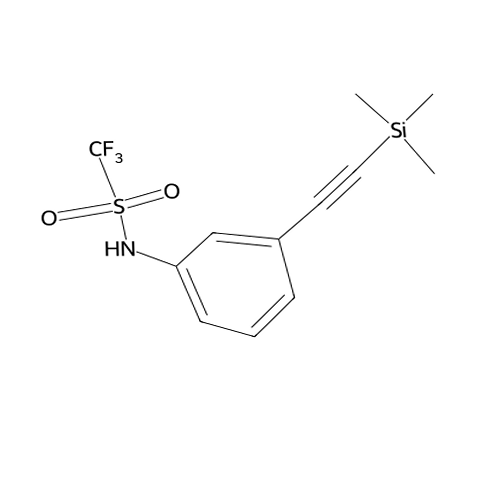 C[Si](C)(C)C#Cc1cccc(NS(=O)(=O)C(F)(F)F)c1